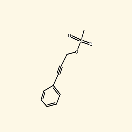 CS(=O)(=O)OCC#Cc1ccccc1